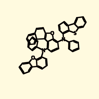 c1ccc(N(c2ccc(N(c3ccccc3)c3cccc4c3oc3ccccc34)c3c2oc2ccc4ccccc4c23)c2cccc3c2sc2ccccc23)cc1